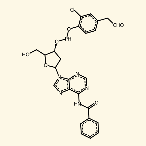 O=CCc1ccc(OPO[C@H]2CC(n3cnc4c(NC(=O)c5ccccc5)ncnc43)OC2CO)c(Cl)c1